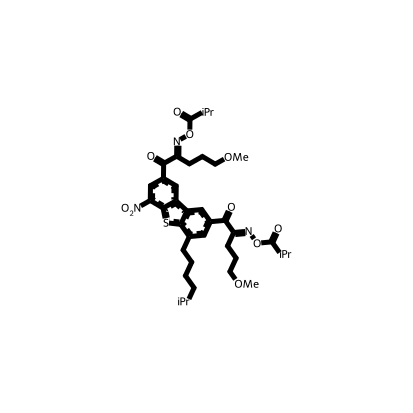 COCCC/C(=N\OC(=O)C(C)C)C(=O)c1cc(CCCCC(C)C)c2sc3c([N+](=O)[O-])cc(C(=O)/C(CCCOC)=N/OC(=O)C(C)C)cc3c2c1